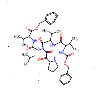 CC(C)C[C@H](C(=O)NC(C(=O)OCc1ccccc1)C(C)C)N(C(=O)C(=O)C1CCCN1)C(=O)C(NC(=O)C(NC(=O)OCc1ccccc1)C(C)C)C(C)C